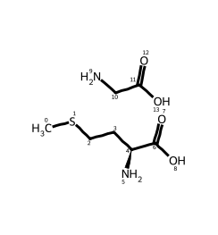 CSCC[C@H](N)C(=O)O.NCC(=O)O